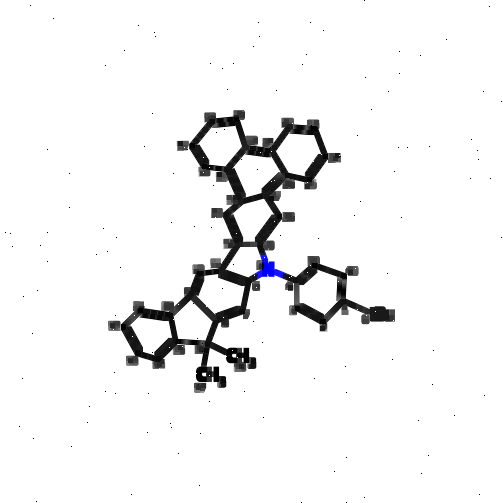 CC(C)(C)c1ccc(-n2c3cc4c(cc3c3cc5c6ccccc6c6ccccc6c5cc32)-c2ccccc2C4(C)C)cc1